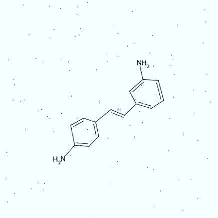 Nc1ccc(/C=C/c2cccc(N)c2)cc1